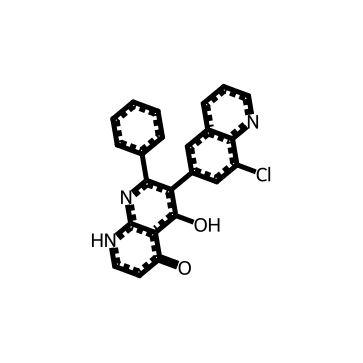 O=c1cc[nH]c2nc(-c3ccccc3)c(-c3cc(Cl)c4ncccc4c3)c(O)c12